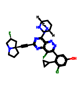 Oc1cc(Cl)c(C2CC2)c(-c2nnc3c(N4C[C@H]5CC[C@@H]4CN5)nc(C#C[C@@]45CCCN4C[C@H](F)C5)nc3c2F)c1